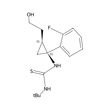 CC(C)(C)NC(=S)N[C@@]1(c2ccccc2F)C[C@H]1CCO